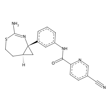 N#Cc1ccc(C(=O)Nc2cccc([C@@]34C[C@H]3CCSC(N)=N4)c2)nc1